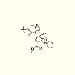 COC(=O)c1ccc(C(=O)c2cnn(C)c2OC(=O)SC(C)(C)C)c(Cl)c1N=S1(=O)CCCCC1